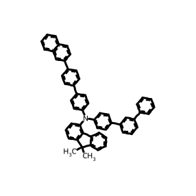 CC1(C)c2ccccc2-c2c(N(c3ccc(-c4ccc(-c5ccc6ccccc6c5)cc4)cc3)c3ccc(-c4cccc(-c5ccccc5)c4)cc3)cccc21